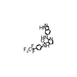 O=C(Nc1ccc(C(F)(F)C(F)(F)F)cc1)c1cccnc1Nc1ccc2cn[nH]c2c1